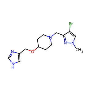 Cn1cc(Br)c(CN2CCC(OCc3c[nH]cn3)CC2)n1